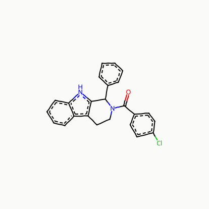 O=C(c1ccc(Cl)cc1)N1CCc2c([nH]c3ccccc23)C1c1ccccc1